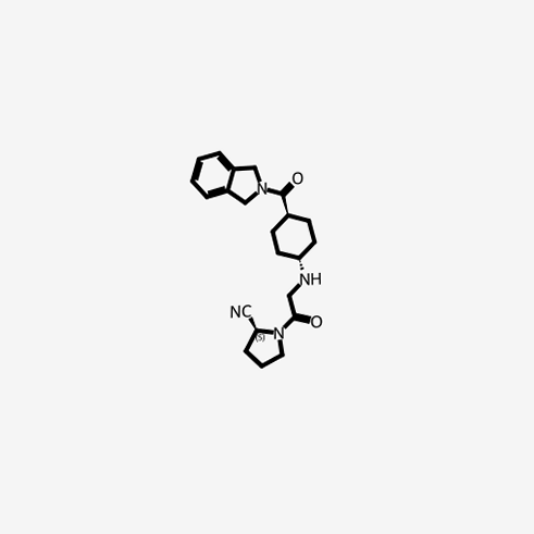 N#C[C@@H]1CCCN1C(=O)CN[C@H]1CC[C@H](C(=O)N2Cc3ccccc3C2)CC1